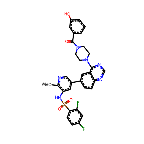 COc1ncc(-c2ccc3ncnc(N4CCN(C(=O)c5cccc(O)c5)CC4)c3c2)cc1NS(=O)(=O)c1ccc(F)cc1F